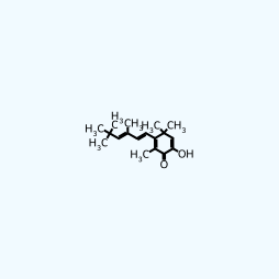 CC1=C(/C=C/C(C)=C/C(C)(C)C)C(C)(C)C=C(O)C1=O